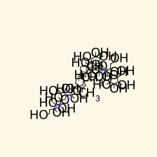 CC1CC23CCC4[C@](C)(C(=O)OC(O)/C(OC5OC(CO)C(O)C(O)C5O)=C(\OC5OC(CO)C(O)C(O)C5O)C(O)CCO)CCC[C@@]4(C)[C@@H]2CCC1(OC(O)/C(O)=C(/OC(O)/C(O)=C(\O)C(O)CCO)C(O)CCO)C3